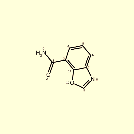 NC(=O)c1cccc2ncoc12